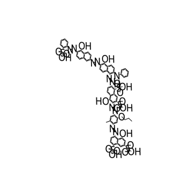 CCCOc1cc(N=Nc2ccc(S(=O)(=O)O)c3cc(S(=O)(=O)O)cc(O)c23)c(C)cc1N=Nc1c(S(=O)(=O)O)cc2c(S(=O)(=O)O)c(N=Nc3c(Nc4ccccc4)ccc4c(O)c(N=Nc5ccc6c(O)c(N=Nc7ccccc7S(=O)(=O)O)ccc6c5)ccc34)ccc2c1O